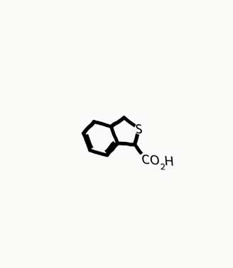 O=C(O)C1SCC2CC=CC=C21